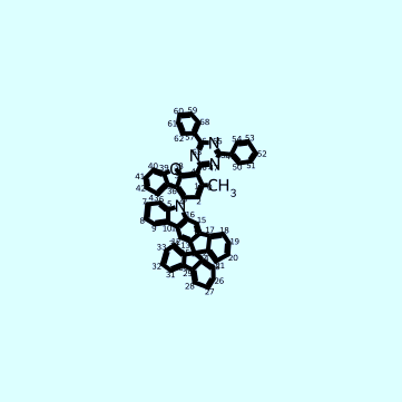 Cc1cc(-n2c3ccccc3c3cc4c(cc32)-c2ccccc2C42c3ccccc3-c3ccccc32)c2c(oc3ccccc32)c1-c1nc(-c2ccccc2)nc(-c2ccccc2)n1